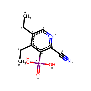 CCc1cnc(C#N)c(P(=O)(O)O)c1CC